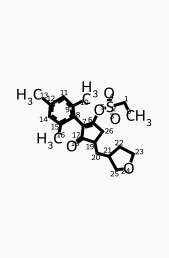 CCS(=O)(=O)OC1=C(c2c(C)cc(C)cc2C)C(=O)C(CC2CCOC2)C1